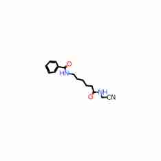 N#CCNC(=O)CCCCCNC(=O)c1ccccc1